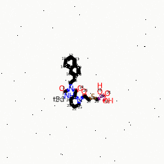 CC(C)(C)NC(=O)N(CCc1ccc2ccccc2c1)C(=O)C1CCCCN1C(=O)CSCP(=O)(O)O